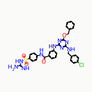 N=C(N)NS(=O)(=O)c1ccc(NC(=O)c2cccc(Nc3nc(NCc4ccc(Cl)cc4)nc(OCc4ccccc4)n3)c2)cc1